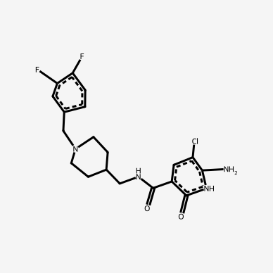 Nc1[nH]c(=O)c(C(=O)NCC2CCN(Cc3ccc(F)c(F)c3)CC2)cc1Cl